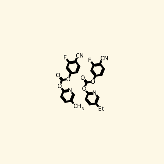 CCc1ccc(OC(=O)Oc2ccc(C#N)c(F)c2)nc1.Cc1ccc(OC(=O)Oc2ccc(C#N)c(F)c2)nc1